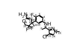 CC(Nc1ccc(F)c([C@@]2(C)N=C(N)OCC2(F)F)c1)c1nn(C)cc1Cl